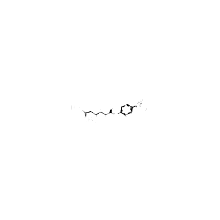 CC(C)CCCCC(=O)Oc1ccc([N+](=O)[O-])cc1